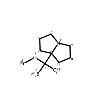 BC(O)(OC(C)C)C12CCCN1CCC2